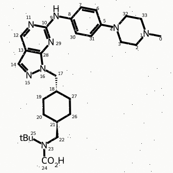 CN1CCN(c2ccc(Nc3ncc4cnn(C[C@H]5CC[C@H](CN(C(=O)O)C(C)(C)C)CC5)c4n3)cc2)CC1